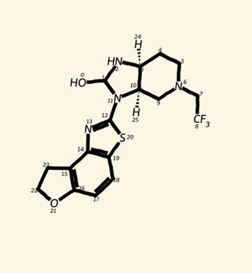 OC1N[C@H]2CCN(CC(F)(F)F)C[C@H]2N1c1nc2c3c(ccc2s1)OCC3